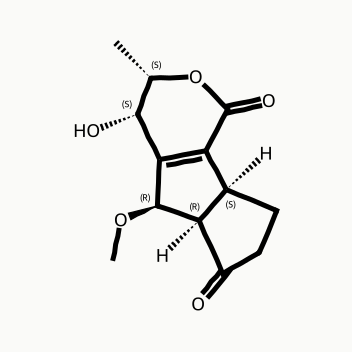 CO[C@H]1C2=C(C(=O)O[C@@H](C)[C@H]2O)[C@H]2CCC(=O)[C@H]21